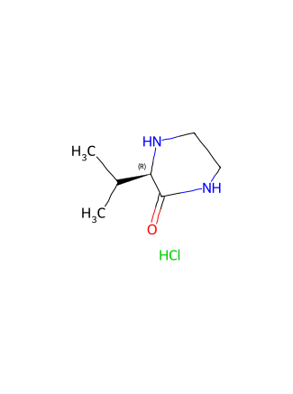 CC(C)[C@H]1NCCNC1=O.Cl